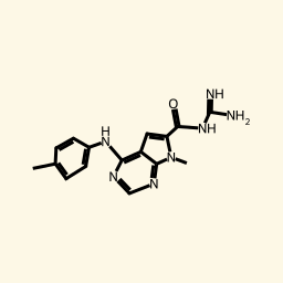 Cc1ccc(Nc2ncnc3c2cc(C(=O)NC(=N)N)n3C)cc1